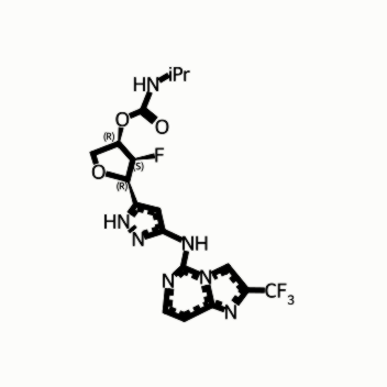 CC(C)NC(=O)O[C@@H]1CO[C@H](c2cc(Nc3nccc4nc(C(F)(F)F)cn34)n[nH]2)[C@@H]1F